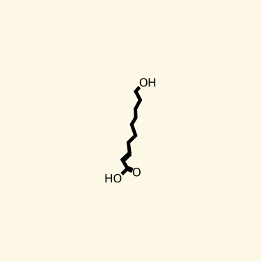 O=C(O)/C=C/CCCCCCCO